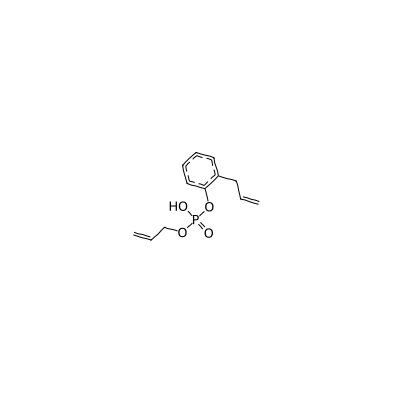 C=CCOP(=O)(O)Oc1ccccc1CC=C